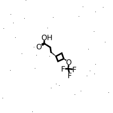 O=C(O)CC[C@H]1C[C@@H](OC(F)(F)F)C1